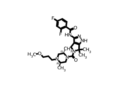 COCCCN1C[C@H](C)N(C(=O)N2Cc3c(NC(=O)c4ccc(F)cc4F)n[nH]c3C2(C)C)C[C@H]1C